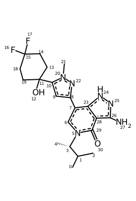 CC(C)[C@H](C)n1cc(-c2cc(C3(O)CCC(F)(F)CC3)n(C)n2)c2[nH]nc(N)c2c1=O